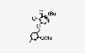 COc1cc(C)ccc1COc1cnn(C(C)(C)C)c(=O)c1Cl